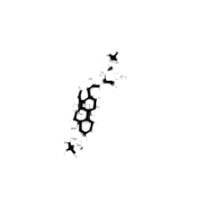 C[C@H](C[C@H](NC(=O)OC(C)(C)C)C(=O)O)[C@H]1CC[C@H]2[C@@H]3CC[C@@H]4C[C@H](O[Si](C)(C)C(C)(C)C)CC[C@]4(C)[C@H]3CC[C@]12C